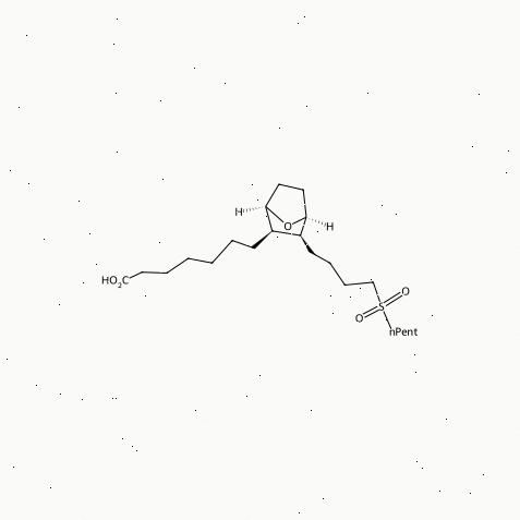 CCCCCS(=O)(=O)CCCC[C@H]1[C@@H](CCCCCCC(=O)O)[C@H]2CC[C@@H]1O2